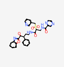 O=C(NCC(C(=O)NCCC(C(=O)c1nc2ccccc2o1)c1ccccc1)S(=O)(=O)Cc1cccnc1)c1cnccn1